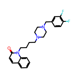 O=c1ccc2ccccc2n1CCCCN1CCN(Cc2ccc(F)c(F)c2)CC1